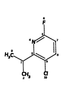 CC(C)c1nc(F)ccc1Cl